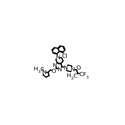 C=C(C(=O)N1CCN(c2nc(OCC3CCCN3C)nc3c2CCN(c2cccc4cccc(Cl)c24)C3)CC1)C(F)(F)F